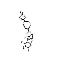 CCC1CCC(C2CCC(C3CC(F)C(C(F)(F)CC4CC(F)C(F)C(F)C4)C(F)C3)CC2)OC1